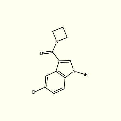 CC(C)n1cc(C(=O)N2CCC2)c2cc(Cl)ccc21